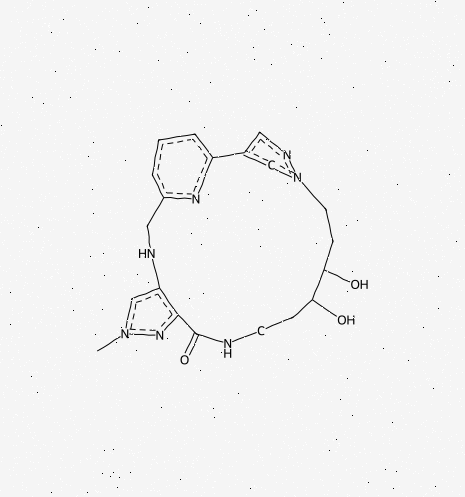 Cn1cc2c(n1)C(=O)NCCC(O)C(O)CCn1cc(cn1)-c1cccc(n1)CN2